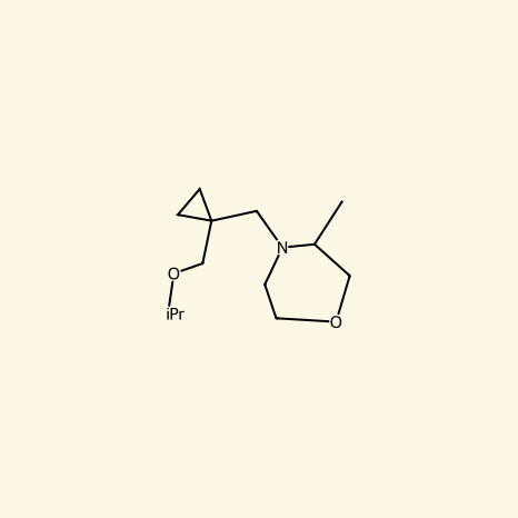 CC(C)OCC1(CN2CCOCC2C)CC1